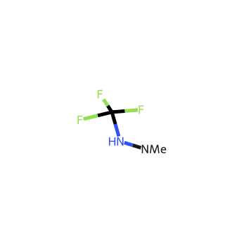 CNNC(F)(F)F